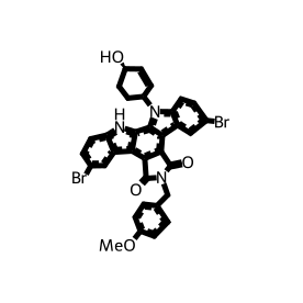 COc1ccc(CN2C(=O)c3c(c4c5cc(Br)ccc5n(C5C=C[C@H](O)CC5)c4c4[nH]c5ccc(Br)cc5c34)C2=O)cc1